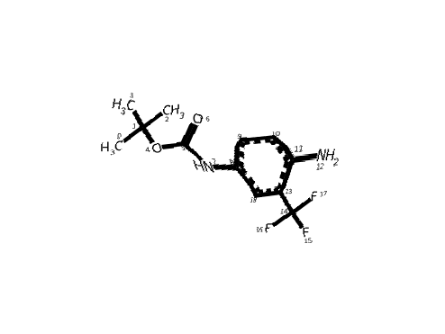 CC(C)(C)OC(=O)Nc1ccc(N)c(C(F)(F)F)c1